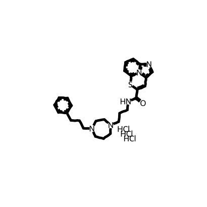 Cl.Cl.Cl.O=C(NCCCN1CCCN(CCCc2ccccc2)CC1)C1=Cc2cnc3cccc(n23)S1